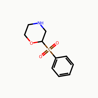 O=S(=O)(c1cc[c]cc1)C1CNCCO1